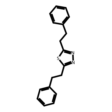 c1ccc(CCc2nnc(CCc3ccccc3)s2)cc1